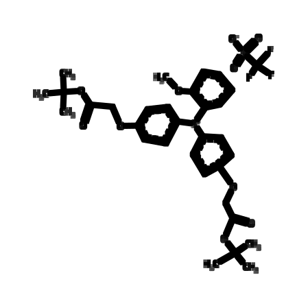 COc1ccccc1[S+](c1ccc(OCC(=O)OC(C)(C)C)cc1)c1ccc(OCC(=O)OC(C)(C)C)cc1.O=S(=O)([O-])C(F)(F)F